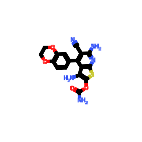 N#Cc1c(N)nc2sc(OC(N)=O)c(N)c2c1-c1ccc2c(c1)OCCO2